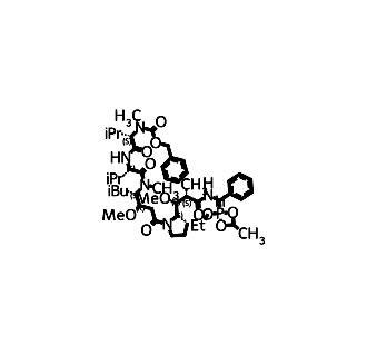 CCO[PH]1(C(NC(=O)[C@@H](C)[C@@H](OC)[C@@H]2CCCN2C(=O)C[C@@H](OC)[C@H](C(C)CC)N(C)C(=O)[C@@H](NC(=O)[C@H](C(C)C)N(C)C(=O)OCc2ccccc2)C(C)C)c2ccccc2)OC(C)O1